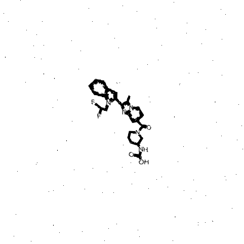 Cc1c(-c2cc3ccccc3n2CC(F)F)nc2cc(C(=O)N3CCCC(NC(=O)O)C3)ccn12